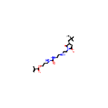 C=C(C)C(=O)OCCCNC(=O)NCCNCCN1C(=O)CC(CC(C)(C)C(C)C)C1=O